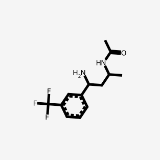 CC(=O)NC(C)CC(N)c1cccc(C(F)(F)F)c1